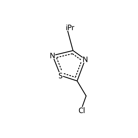 CC(C)c1nsc(CCl)n1